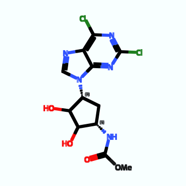 COC(=O)N[C@H]1C[C@@H](n2cnc3c(Cl)nc(Cl)nc32)C(O)C1O